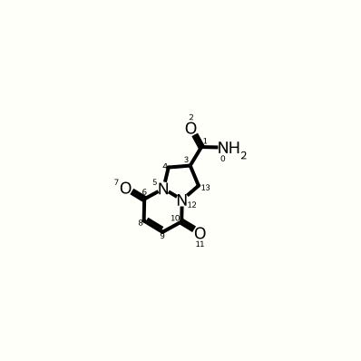 NC(=O)C1Cn2c(=O)ccc(=O)n2C1